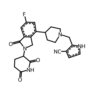 N#Cc1cc[nH]c1CN1CCC(c2cc(F)cc3c2CN(C2CCC(=O)NC2=O)C3=O)CC1